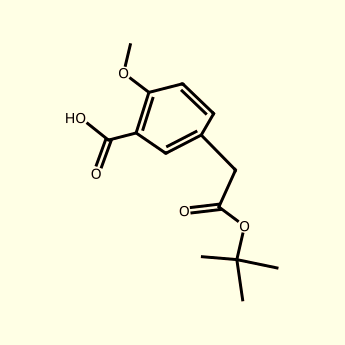 COc1ccc(CC(=O)OC(C)(C)C)cc1C(=O)O